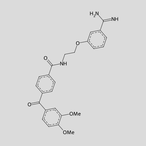 COc1ccc(C(=O)c2ccc(C(=O)NCCOc3cccc(C(=N)N)c3)cc2)cc1OC